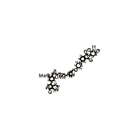 COc1cc(-c2cn(C)c(=O)c3cnccc23)cc(OC)c1CN(C)CCOCCn1cc(COC2CCN(c3ccc4c(c3)C(=O)N(C3CCC(=O)NC3=O)C4=O)CC2)nn1